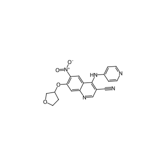 N#Cc1cnc2cc(OC3CCOC3)c([N+](=O)[O-])cc2c1Nc1ccncc1